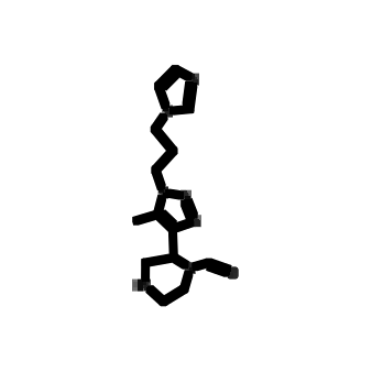 Cc1c(C2CNCCN2C=O)nnn1CCCn1ccnc1